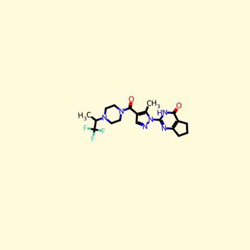 Cc1c(C(=O)N2CCN(C(C)C(F)(F)F)CC2)cnn1-c1nc2c(c(=O)[nH]1)CCC2